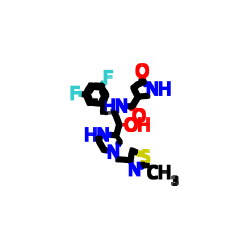 CC1=NC(CN2CCN[C@@H]([C@@H](O)[C@H](Cc3cc(F)cc(F)c3)NC(=O)C3CNC(=O)C3)C2)CS1